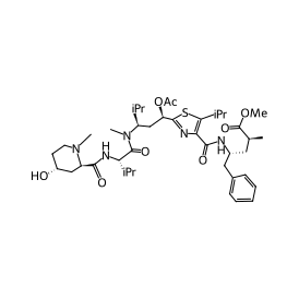 COC(=O)[C@@H](C)C[C@H](Cc1ccccc1)NC(=O)c1nc([C@@H](C[C@H](C(C)C)N(C)C(=O)[C@@H](NC(=O)[C@H]2C[C@H](O)CCN2C)C(C)C)OC(C)=O)sc1C(C)C